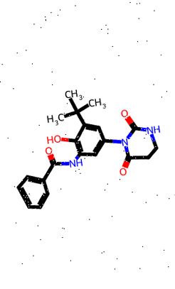 CC(C)(C)c1cc(N2C(=O)CCNC2=O)cc(NC(=O)c2ccccc2)c1O